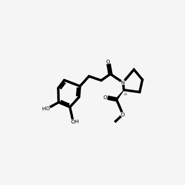 COC(=O)[C@@H]1CCCN1C(=O)CCc1ccc(O)c(O)c1